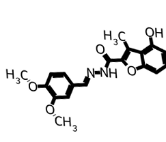 COc1ccc(C=NNC(=O)c2oc3cccc(O)c3c2C)cc1OC